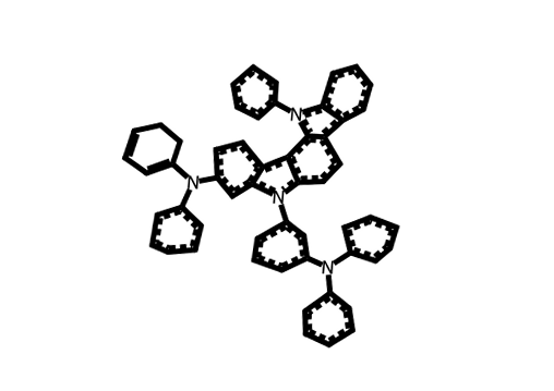 C1=CCCC(N(c2ccccc2)c2ccc3c4c(ccc5c6ccccc6n(-c6ccccc6)c54)n(-c4cccc(N(c5ccccc5)c5ccccc5)c4)c3c2)=C1